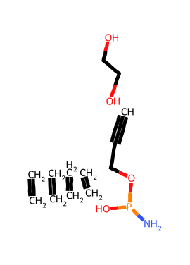 C#CCOP(N)O.C=C.C=C.C=C.C=C.OCCO